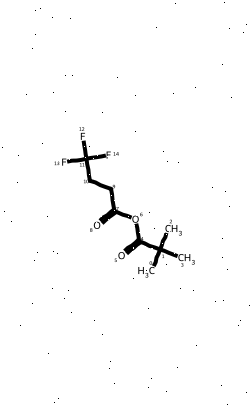 CC(C)(C)C(=O)OC(=O)CCC(F)(F)F